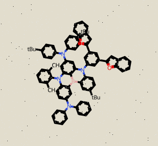 Cc1cccc(C)c1N1c2ccc(N(c3ccccc3)c3ccccc3)cc2B2c3cc(C(C)(C)C)ccc3N(c3cc(-c4cc5ccccc5o4)cc(-c4cc5ccccc5o4)c3)c3cc(N(c4ccc(C(C)(C)C)cc4)c4ccc(C(C)(C)C)cc4)cc1c32